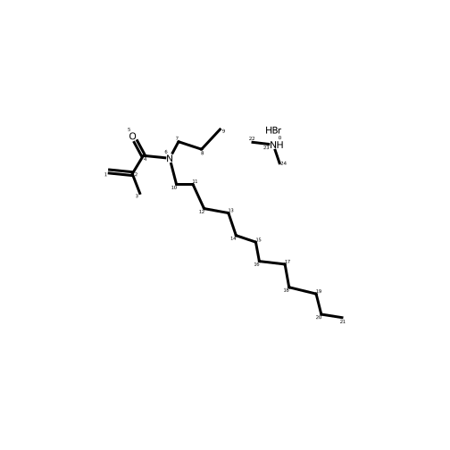 Br.C=C(C)C(=O)N(CCC)CCCCCCCCCCCC.CNC